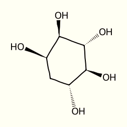 O[C@@H]1[C@@H](O)[C@H](O)C[C@@H](O)[C@H]1O